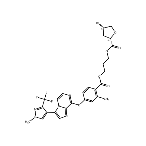 Cc1cc(Oc2nccn3c(-c4cn(C)nc4C(F)(F)F)cnc23)ccc1C(=O)OCCCOC(=O)[C@@H]1C[C@@H](O)CO1